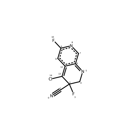 N#CC1(F)CN=c2cnc(F)cc2=C1Cl